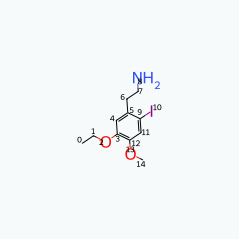 CCOc1cc(CCN)c(I)cc1OC